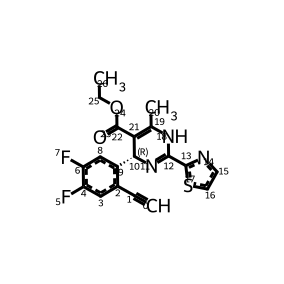 C#Cc1cc(F)c(F)cc1[C@H]1N=C(c2nccs2)NC(C)=C1C(=O)OCC